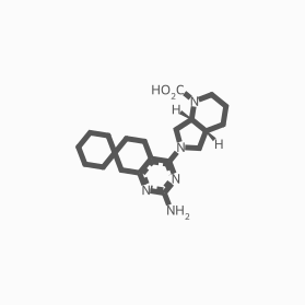 Nc1nc2c(c(N3C[C@H]4CCCN(C(=O)O)[C@H]4C3)n1)CCC1(CCCCC1)C2